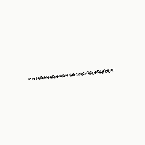 COOOOOOOOOOOOOOOOOOOOOOOOOOOOOOOOOOOOOOOOOOOO